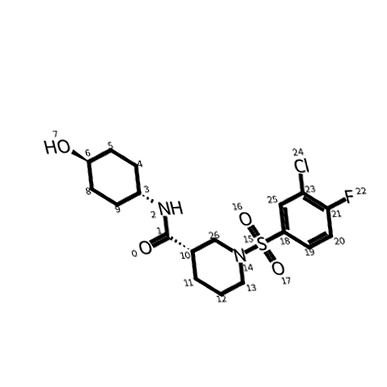 O=C(N[C@H]1CC[C@H](O)CC1)[C@H]1CCCN(S(=O)(=O)c2ccc(F)c(Cl)c2)C1